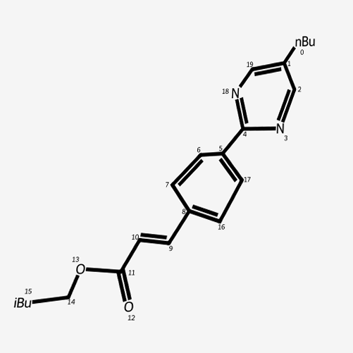 CCCCc1cnc(-c2ccc(/C=C/C(=O)OCC(C)CC)cc2)nc1